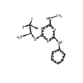 CNc1nc(Nc2ccccc2)nc(OC(C)C(F)(F)F)n1